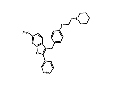 COc1ccc2c(Cc3ccc(OCCN4CCCCC4)cc3)c(-c3ccccc3)oc2c1